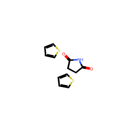 O=C1CCC(=O)N1.c1ccsc1.c1ccsc1